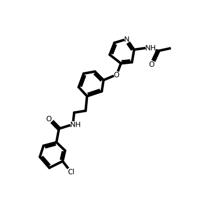 CC(=O)Nc1cc(Oc2cccc(CCNC(=O)c3cccc(Cl)c3)c2)ccn1